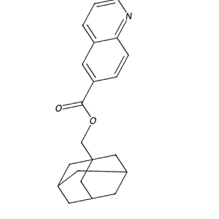 O=C(OCC12CC3CC(CC(C3)C1)C2)c1ccc2ncccc2c1